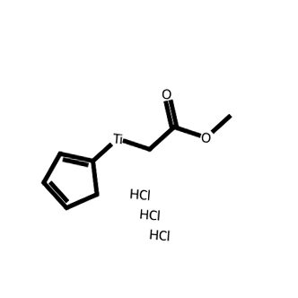 COC(=O)[CH2][Ti][C]1=CC=CC1.Cl.Cl.Cl